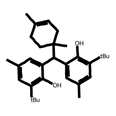 CC1=CCC(C)(C(c2cc(C)cc(C(C)(C)C)c2O)c2cc(C)cc(C(C)(C)C)c2O)CC1